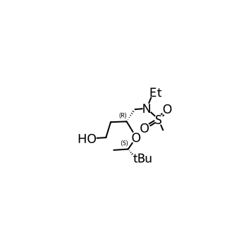 CCN(C[C@@H](CCO)O[C@@H](C)C(C)(C)C)S(C)(=O)=O